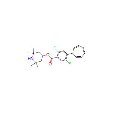 CC1(C)CC(OC(=O)c2cc(F)c(C3C=CC=CC=C3)cc2F)CC(C)(C)N1